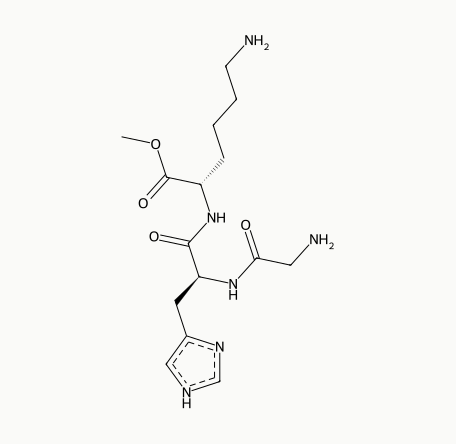 COC(=O)[C@H](CCCCN)NC(=O)[C@H](Cc1c[nH]cn1)NC(=O)CN